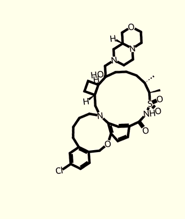 C[C@@H]1[C@@H](C)CCC[C@](O)(CN2CCN3CCOC[C@H]3C2)[C@@H]2CC[C@H]2CN2CCCCc3cc(Cl)ccc3COc3ccc(cc32)C(=O)NS1(=O)=O